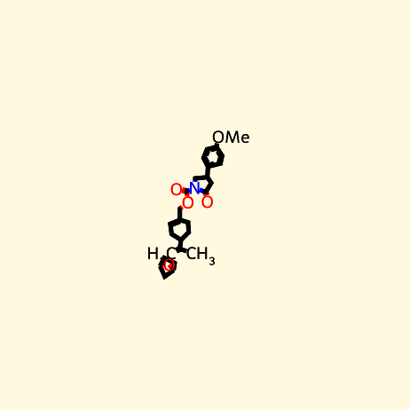 C1CC2CC1O2.C=C(C)C1CC=C(COC(=O)N2CC(c3ccc(OC)cc3)CC2=O)CC1